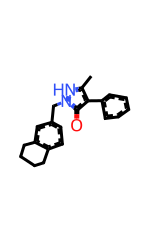 Cc1[nH]n(Cc2ccc3c(c2)CCCC3)c(=O)c1-c1ccccc1